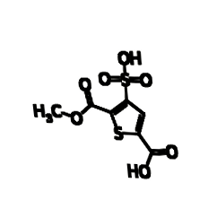 COC(=O)c1sc(C(=O)O)cc1S(=O)(=O)O